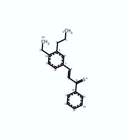 CCCc1cc(C=CC(=S)c2ccccc2)ccc1CC